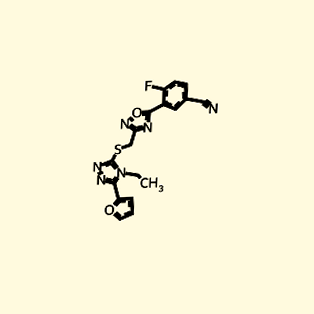 CCn1c(SCc2noc(-c3cc(C#N)ccc3F)n2)nnc1-c1ccco1